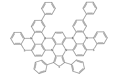 c1ccc(-c2ccc3c(c2)B2c4ccc5c6c4N(c4ccc7c(c42)N3c2ccccc2S7)c2c(-c3ccccc3)sc(-c3ccccc3)c2N6c2ccc3c4c2B5c2ccc(-c5ccccc5)cc2N4c2ccccc2S3)cc1